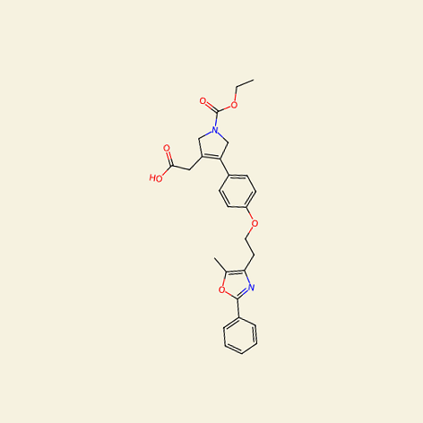 CCOC(=O)N1CC(CC(=O)O)=C(c2ccc(OCCc3nc(-c4ccccc4)oc3C)cc2)C1